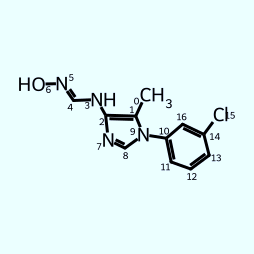 Cc1c(NC=NO)ncn1-c1cccc(Cl)c1